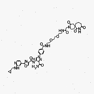 NC(=O)c1nn(-c2ccc(C(=O)NCCOCCOCCNC(=O)CN3CCC4(CCCC(=O)NC4=O)CC3=O)cc2)cc1NC(=O)c1coc(-c2ccnc(NCC3CC3)c2)n1